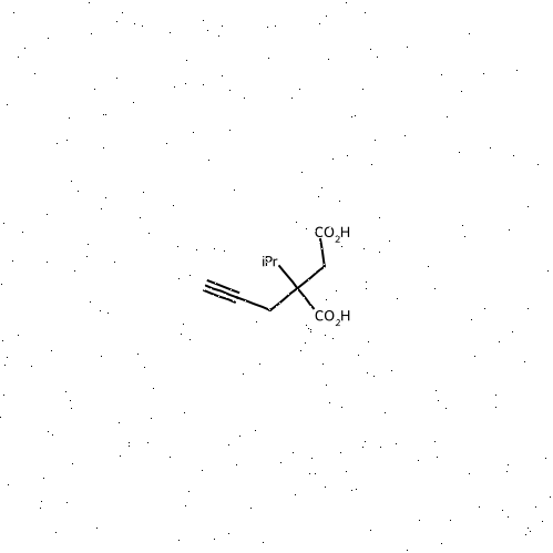 C#CCC(CC(=O)O)(C(=O)O)C(C)C